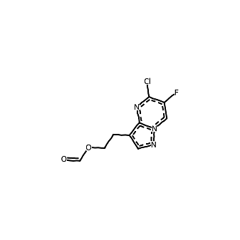 O=COCCc1cnn2cc(F)c(Cl)nc12